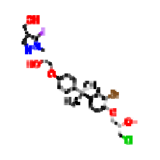 CC(C)(c1ccc(OC[C@@H](O)Cn2ncc(CO)c2I)cc1)c1ccc(OC[C@H](O)CCl)c(Br)c1